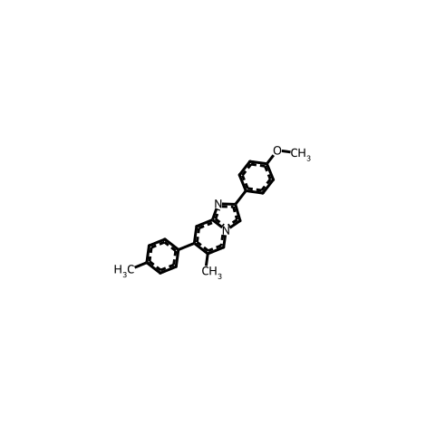 COc1ccc(-c2cn3cc(C)c(-c4ccc(C)cc4)cc3n2)cc1